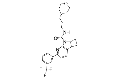 O=C(NCCCN1CCOCC1)N1c2nc(-c3cccc(C(F)(F)F)c3)ccc2C2CCC21